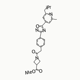 COC(=O)C1CN(C(=O)Cc2ccc(-c3noc(-c4cc(C)nc(CC(C)C)c4)n3)cc2)C1